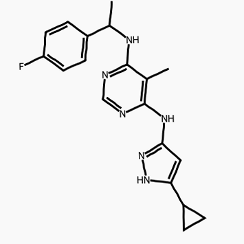 Cc1c(Nc2cc(C3CC3)[nH]n2)ncnc1NC(C)c1ccc(F)cc1